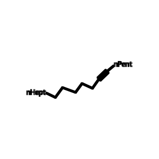 CCCCCC#CCCCCCCCCCCCC